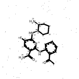 CC(=O)c1ccccc1Nc1nc(N[C@@H]2CCCC[C@@H]2N)c(F)cc1C(N)=O